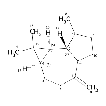 C=C1CC[C@@H]2[C@H]([C@@H]3C(C)CCC13)C2(C)C